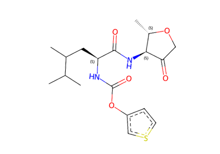 CC(C)C(C)C[C@H](NC(=O)Oc1ccsc1)C(=O)N[C@@H]1C(=O)CO[C@H]1C